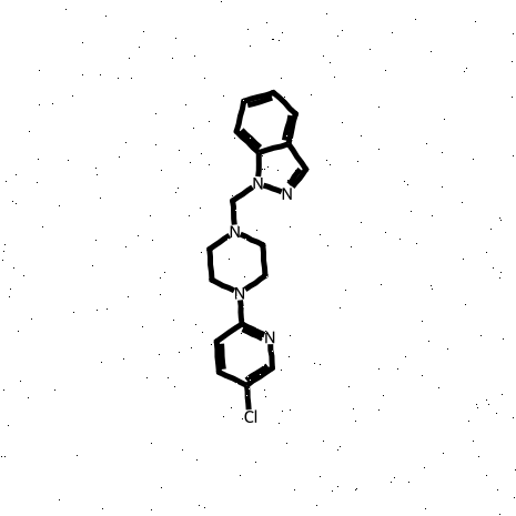 Clc1ccc(N2CCN(Cn3ncc4ccccc43)CC2)nc1